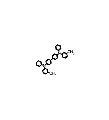 Cc1c#ccc(N(c2ccccc2)c2ccc(-c3ccc(N(C4=CCCC=C4)c4cccc(C)c4)cc3)cc2)c1